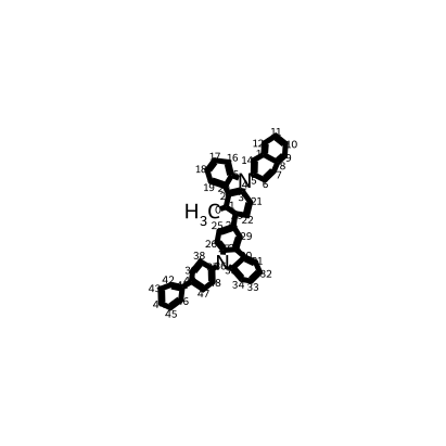 CC1c2c(n(-c3ccc4ccccc4c3)c3ccccc23)C=CC1c1ccc2c(c1)c1ccccc1n2-c1ccc(-c2ccccc2)cc1